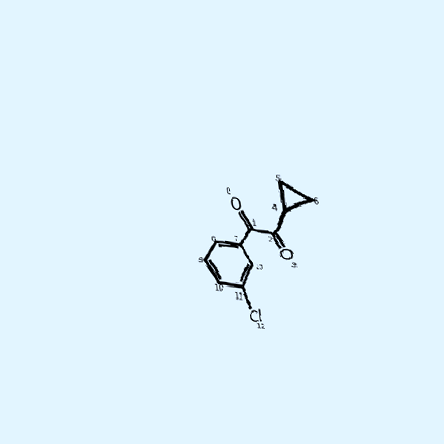 O=C(C(=O)C1CC1)c1cccc(Cl)c1